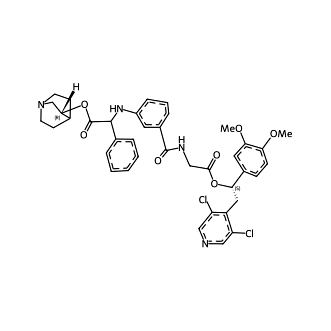 COc1ccc([C@H](Cc2c(Cl)cncc2Cl)OC(=O)CNC(=O)c2cccc(NC(C(=O)O[C@H]3CN4CCC3CC4)c3ccccc3)c2)cc1OC